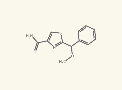 COC(c1ccccc1)c1nc(C(N)=O)cs1